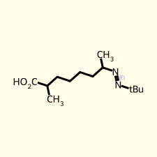 CC(CCCCC(C)C(=O)O)/N=N/C(C)(C)C